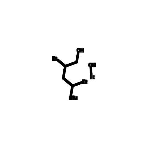 CCCCC(CC)CC(CC)CO.CCO